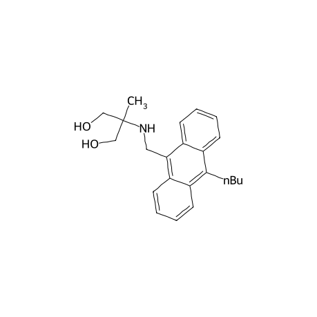 CCCCc1c2ccccc2c(CNC(C)(CO)CO)c2ccccc12